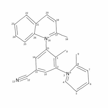 Cc1c(-[n+]2ccccc2C)cc(C#N)cc1-[n+]1c(C)ccc2ccccc21